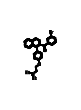 CCN(CC)CCOc1ccc(-c2c(C(=O)c3cccc(Br)c3)ccc3ccccc23)cc1